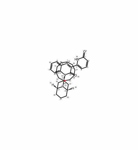 O=c1cccc(-c2nc3ccccc3n([C@@H]3C[C@H]4CCC[C@@H](C3)N4C3CCCCCCCCC3)c2=O)[nH]1